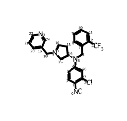 [C-]#[N+]c1ccc(N(Cc2ccccc2C(F)(F)F)[C@H]2CCN(Cc3cccnc3)C2)cc1Cl